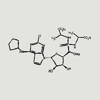 CCOC(=O)C(C)NP(=O)(NC(C)C(=O)O)C(OC)[C@@H]1O[C@@H](n2ccc3c(NC4CCCC4)nc(Cl)nc32)[C@H](O)[C@@H]1O